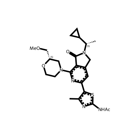 COC[C@@H]1CN(c2nc(-c3sc(NC(C)=O)nc3C)cc3c2C(=O)N([C@@H](C)C2CC2)C3)CCO1